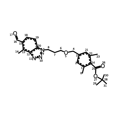 Cc1cc(COCCCn2nnc3c(C)c(C=O)ccc32)cc(C)c1C(=O)OC(C)(C)C